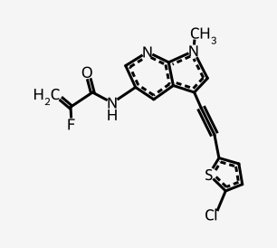 C=C(F)C(=O)Nc1cnc2c(c1)c(C#Cc1ccc(Cl)s1)cn2C